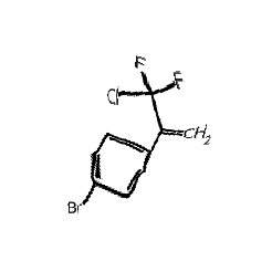 C=C(c1ccc(Br)cc1)C(F)(F)Cl